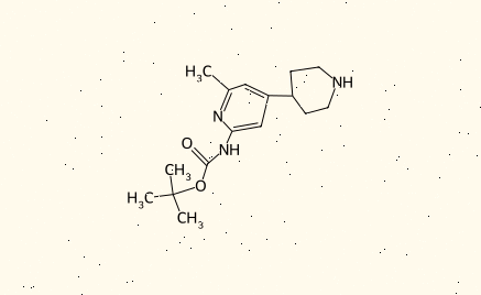 Cc1cc(C2CCNCC2)cc(NC(=O)OC(C)(C)C)n1